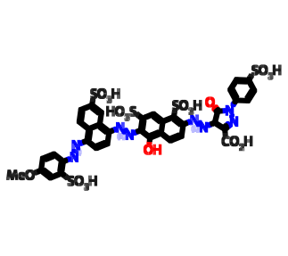 COc1ccc(/N=N/c2ccc(/N=N/c3c(S(=O)(=O)O)cc4c(S(=O)(=O)O)c(/N=N/C5C(=O)N(c6ccc(S(=O)(=O)O)cc6)N=C5C(=O)O)ccc4c3O)c3cc(S(=O)(=O)O)ccc23)c(S(=O)(=O)O)c1